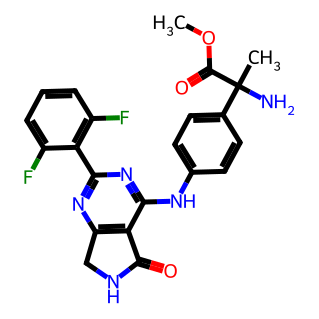 COC(=O)C(C)(N)c1ccc(Nc2nc(-c3c(F)cccc3F)nc3c2C(=O)NC3)cc1